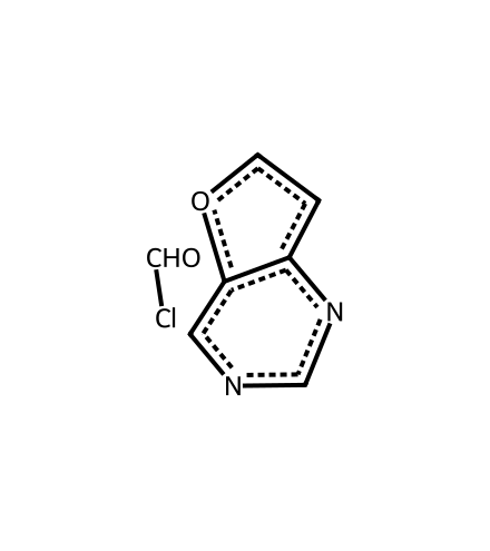 O=CCl.c1ncc2occc2n1